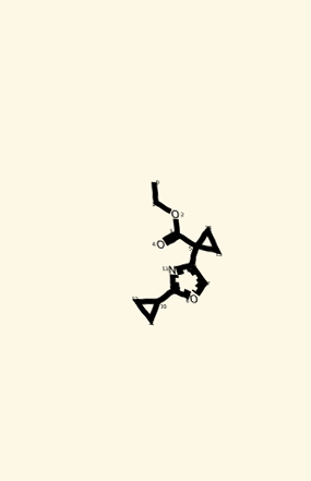 CCOC(=O)C1(c2coc(C3CC3)n2)CC1